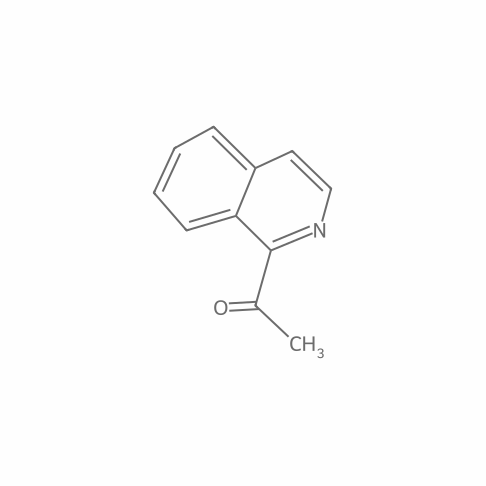 CC(=O)c1nccc2ccccc12